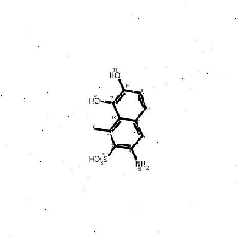 Cc1c(S(=O)(=O)O)c(N)cc2ccc(O)c(O)c12